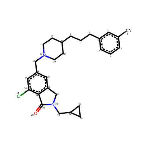 N#Cc1cccc(CCCC2CCN(Cc3cc(Cl)c4c(c3)CN(CC3CC3)C4=O)CC2)c1